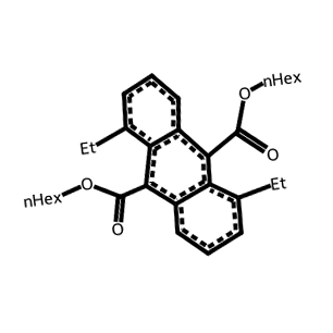 CCCCCCOC(=O)c1c2cccc(CC)c2c(C(=O)OCCCCCC)c2cccc(CC)c12